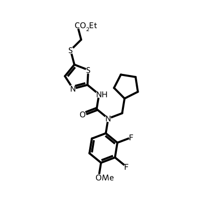 CCOC(=O)CSc1cnc(NC(=O)N(CC2CCCC2)c2ccc(OC)c(F)c2F)s1